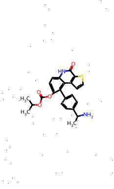 CC(C)OC(=O)Oc1ccc2[nH]c(=O)c3sccc3c2c1-c1ccc(C(C)N)cc1